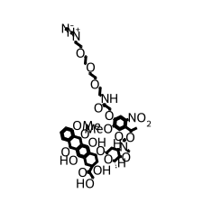 COc1cc(C(C)OC(=O)N2CO[C@@H]3[C@H](C)O[C@@H](O[C@H]4C[C@](O)(C(=O)CO)Cc5c(O)c6c(c(O)c54)C(=O)c4c(OC)cccc4C6=O)C[C@@H]32)c([N+](=O)[O-])cc1OCC(=O)NCCOCCOCCOCCN=[N+]=[N-]